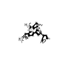 CC(Oc1nc(-c2cnn([C@H]3CCOC3)c2)cc2nn(C)cc12)[C@H]1CNC(=O)C1